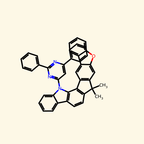 CC1(C)c2cc3oc4ccccc4c3cc2-c2c1ccc1c3ccccc3n(-c3cc(-c4ccccc4)nc(-c4ccccc4)n3)c21